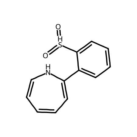 O=[SH](=O)c1ccccc1C1=CC=CC=CN1